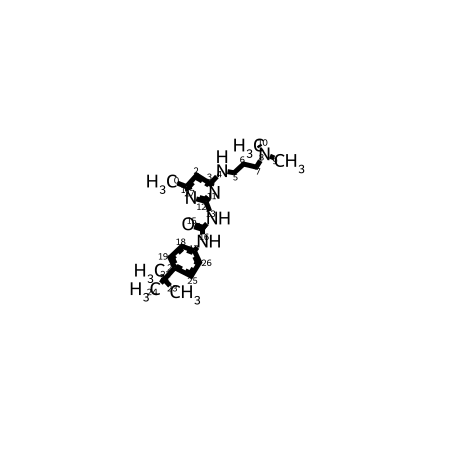 Cc1cc(NCCCN(C)C)nc(NC(=O)Nc2ccc(C(C)(C)C)cc2)n1